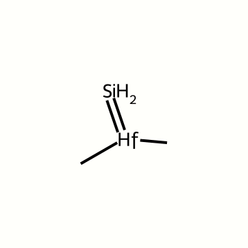 [CH3][Hf]([CH3])=[SiH2]